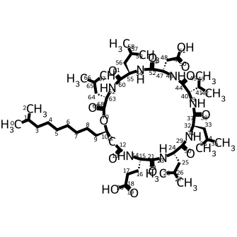 CC(C)CCCCCCC[C@@H]1CC(=O)N[C@@H](CCC(=O)O)C(=O)N[C@@H](CC(C)C)C(=O)N[C@H](CC(C)C)C(=O)N[C@@H](C(C)C)C(=O)N[C@@H](CC(=O)O)C(=O)N[C@H](CC(C)C)C(=O)N[C@@H](CC(C)C)C(=O)O1